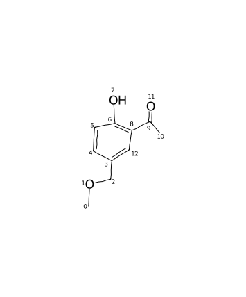 COCc1ccc(O)c(C(C)=O)c1